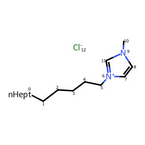 CCCCCCCCCCCC[n+]1ccn(C)c1.[Cl-]